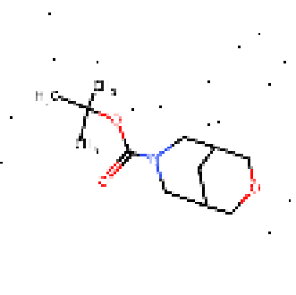 CC(C)(C)OC(=O)N1CC2COCC(C2)C1